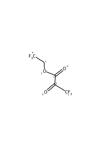 O=C(OCC(F)(F)F)C(=O)C(F)(F)F